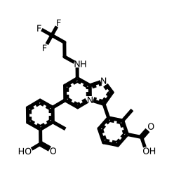 Cc1c(C(=O)O)cccc1-c1cc(NCCC(F)(F)F)c2ncc(-c3cccc(C(=O)O)c3C)n2c1